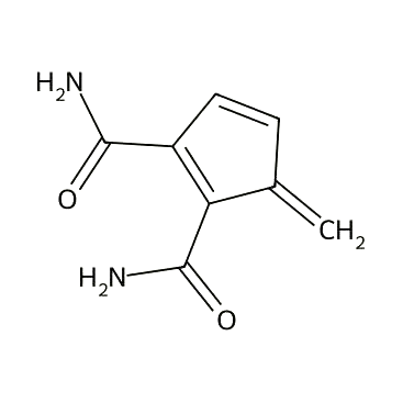 C=C1C=CC(C(N)=O)=C1C(N)=O